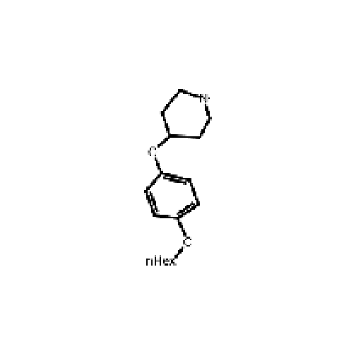 CCCCCCOc1ccc(OC2CC[N]CC2)cc1